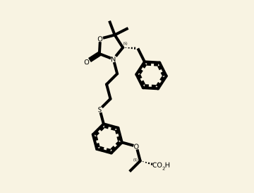 C[C@H](Oc1cccc(SCCCN2C(=O)OC(C)(C)[C@@H]2Cc2ccccc2)c1)C(=O)O